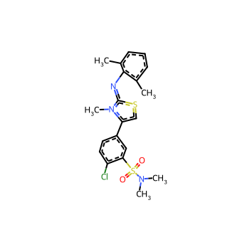 Cc1cccc(C)c1N=c1scc(-c2ccc(Cl)c(S(=O)(=O)N(C)C)c2)n1C